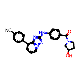 N#Cc1ccc(-c2cccn3nc(Nc4ccc(C(=O)N5CCC(O)C5)cc4)nc23)cc1